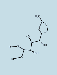 CCSC(SCC)[C@H](O)[C@@H](O)[C@@H](O)[C@H]1COC(C)O1